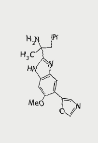 COc1cc2[nH]c(C(C)(N)CC(C)C)nc2cc1-c1cnco1